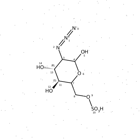 [N-]=[N+]=NC1C(O)OC(COS(=O)(=O)O)[C@@H](O)[C@@H]1O